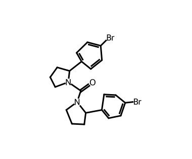 O=C(N1CCCC1c1ccc(Br)cc1)N1CCCC1c1ccc(Br)cc1